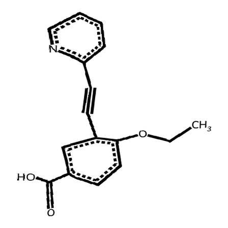 CCOc1ccc(C(=O)O)cc1C#Cc1ccccn1